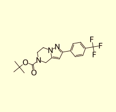 CC(C)(C)OC(=O)N1CCn2nc(-c3ccc(C(F)(F)F)cc3)cc2C1